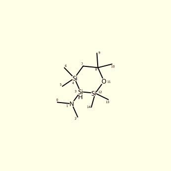 CN(C)[SiH]1[Si](C)(C)CC(C)(C)O[Si]1(C)C